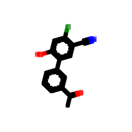 CC(=O)c1cccc(-c2cc(C#N)c(Cl)cc2O)c1